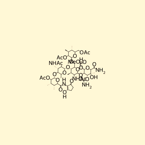 CO[PH](=O)O[C@H]1OC(C(N)=O)[C@@](C)(O)[C@H](OC(N)=O)C1O[C@@H]1OC(CO[C@@H]2OC(COC(C)=O)[C@@H](C)[C@H](C)C2OC(C)=O)[C@@H](O[C@@H]2OC(C)[C@@H](O[C@@H]3OC(C(=O)NC4=C(O)CCC4=O)[C@H](C)[C@H](C)C3OC(C)=O)[C@H](C)C2NC(C)=O)[C@H](C)C1NC(C)=O